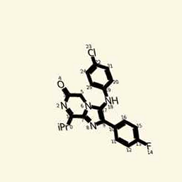 CC(C)C1=NC(=O)Cn2c1nc(-c1ccc(F)cc1)c2Nc1ccc(Cl)cc1